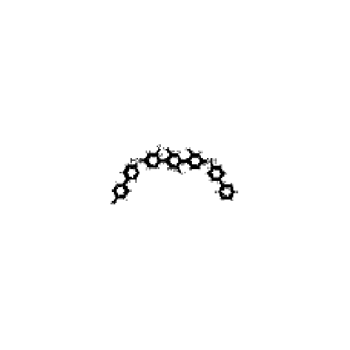 Cc1ccc(-c2ccc(Nc3ccc(-c4cc(C)c(-c5ccc(Nc6ccc(-c7ccccc7)cc6)cc5C)cc4C)c(C)c3)cc2)cc1